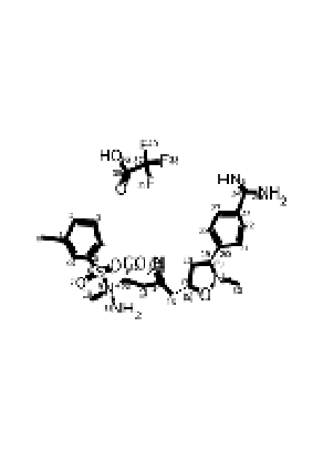 Cc1cccc(S(=O)(=O)[N+](C)(N)[C@@H](CC(=O)C[C@@H]2C[C@@H](c3ccc(C(=N)N)cc3)N(C)O2)C(=O)O)c1.O=C(O)C(F)(F)F